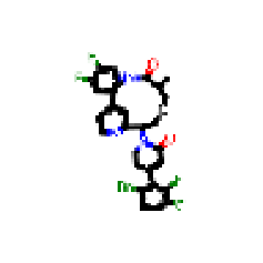 CC1CCCC(N2CCC(c3c(Br)ccc(Cl)c3F)=CC2=O)c2cc(ccn2)-c2cc(F)c(F)cc2NC1=O